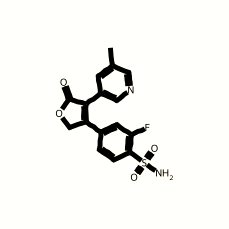 Cc1cncc(C2=C(c3ccc(S(N)(=O)=O)c(F)c3)COC2=O)c1